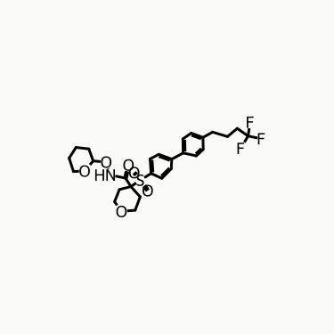 O=C(NOC1CCCCO1)C1(S(=O)(=O)c2ccc(-c3ccc(CCCC(F)(F)F)cc3)cc2)CCOCC1